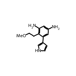 COCCc1c(N)cc(N)cc1-c1cc[nH]c1